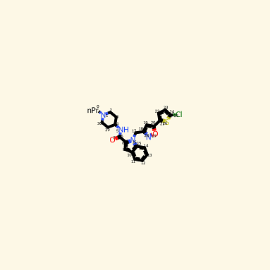 CCCN1CCC(NC(=O)c2cc3ccccc3n2Cc2cc(-c3ccc(Cl)s3)on2)CC1